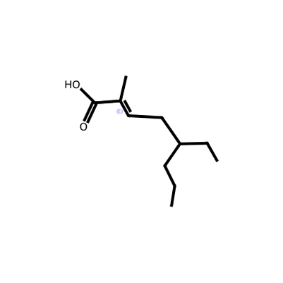 CCCC(CC)C/C=C(\C)C(=O)O